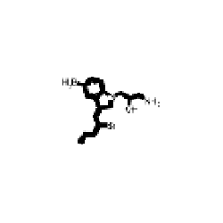 Bc1ccc2c(c1)/C(=C/C(Br)=C\C=C)CN2CC(O)CN